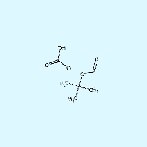 CC(C)(C)OC=O.O=C(O)Cl